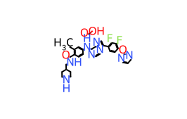 CCc1cc(Nc2nccn3c(-c4ccc(Oc5ncccn5)c(F)c4F)cnc23)ccc1C(=O)NCC1CCNCC1.O=CO